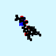 Cc1cc(C)c(C2C(=O)CC(CCNC(=O)c3cc(C4CC4)on3)C2=O)c(C)c1